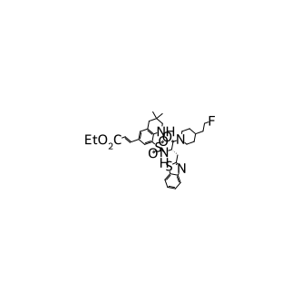 CCOC(=O)C=Cc1cc2c(c(S(=O)(=O)N[C@@H](Cc3nc4ccccc4s3)C(=O)N3CCC(CCF)CC3)c1)NCC(C)(C)C2